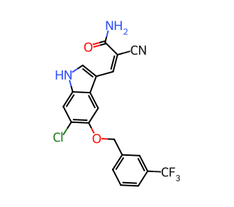 N#CC(=Cc1c[nH]c2cc(Cl)c(OCc3cccc(C(F)(F)F)c3)cc12)C(N)=O